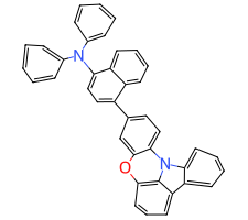 c1ccc(N(c2ccccc2)c2ccc(-c3ccc4c(c3)Oc3cccc5c6ccccc6n-4c35)c3ccccc23)cc1